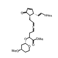 CCCCCCC=C[C@H]1C=CC(=O)[C@@H]1CC=C=CCC(O[C@H]1C[C@H](OC)CCO1)C(=O)OC